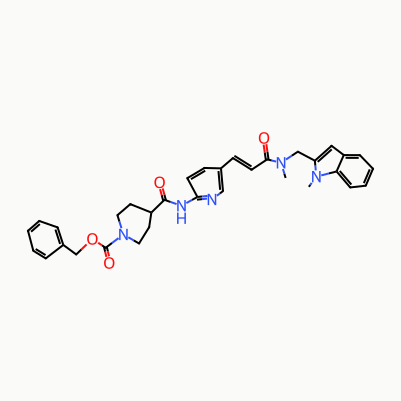 CN(Cc1cc2ccccc2n1C)C(=O)C=Cc1ccc(NC(=O)C2CCN(C(=O)OCc3ccccc3)CC2)nc1